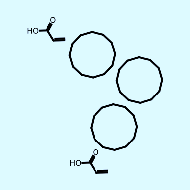 C1CCCCCCCCCCC1.C1CCCCCCCCCCC1.C1CCCCCCCCCCC1.C=CC(=O)O.C=CC(=O)O